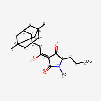 CSCCC1C(=O)/C(=C(/O)CC23CC4CC(C)(CC(C)(C4)C2)C3)C(=O)N1C(C)=O